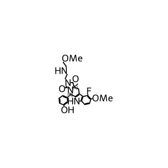 COCCNCCN1C(=O)N2[C@H](c3cccc(O)c3)c3[nH]c4ccc(OC)c(F)c4c3C[C@@]2(C)C1=O